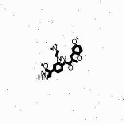 COc1ccc2c(c1)CC(C(=O)c1nn(CCN(C)C)c3cc(-c4c[nH]nc4OC)ccc13)CO2